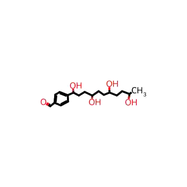 CC(O)CCC(O)CCC(O)CCC(O)c1ccc(C=O)cc1